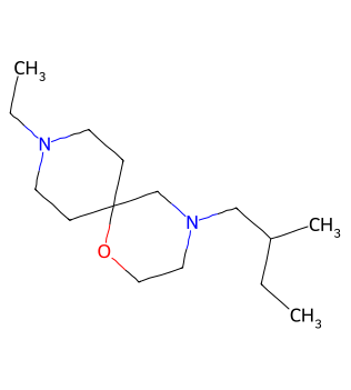 CCC(C)CN1CCOC2(CCN(CC)CC2)C1